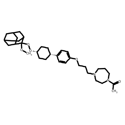 COC1(OO[C@H]2CC[C@@H](c3ccc(OCCCN4CCCN(C(C)=O)CC4)cc3)CC2)C2CC3CC(C2)CC1C3